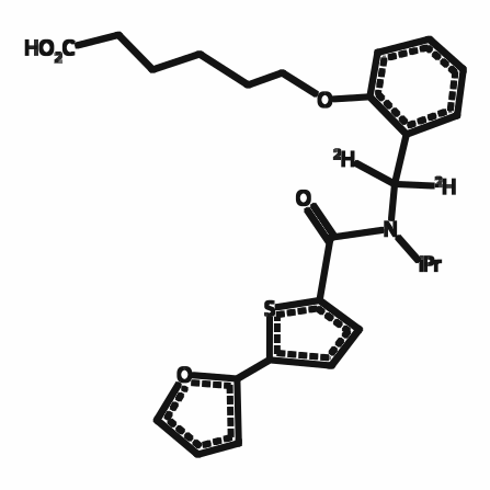 [2H]C([2H])(c1ccccc1OCCCCCC(=O)O)N(C(=O)c1ccc(-c2ccco2)s1)C(C)C